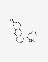 CCC(C)c1cccc2cc3c(cc12)CCC(=O)C3